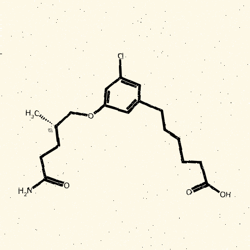 C[C@@H](CCC(N)=O)COc1cc(Cl)cc(CCCCCC(=O)O)c1